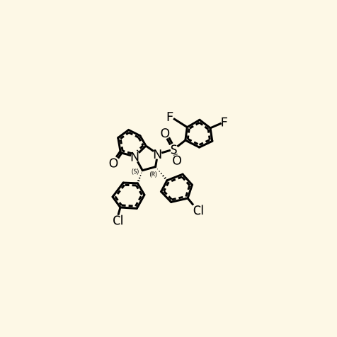 O=c1cccc2n1[C@@H](c1ccc(Cl)cc1)[C@@H](c1ccc(Cl)cc1)N2S(=O)(=O)c1ccc(F)cc1F